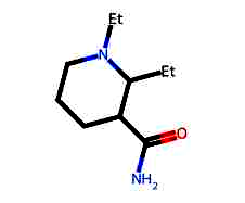 CCC1C(C(N)=O)CCCN1CC